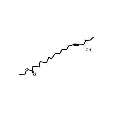 CCC[C@H](O)C#CCCCCCCCCCCCC(=O)OCC